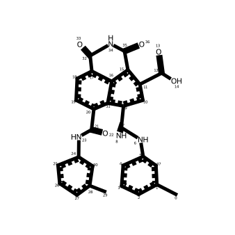 Cc1cccc(NC(=N)c2cc(C(=O)O)c3c4c(ccc(C(=O)Nc5cccc(C)c5)c24)C(=O)NC3=O)c1